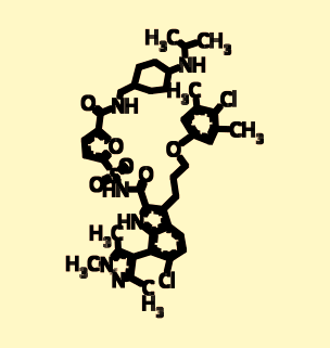 Cc1cc(OCCCc2c(C(=O)NS(=O)(=O)c3ccc(C(=O)NCC4CCC(NC(C)C)CC4)o3)[nH]c3c(-c4c(C)nn(C)c4C)c(Cl)ccc23)cc(C)c1Cl